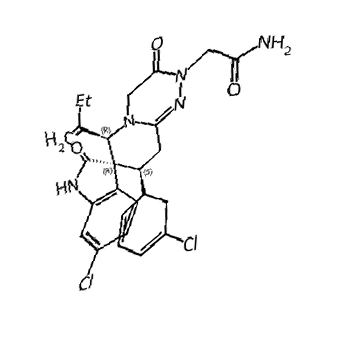 C=C(CC)[C@H]1N2CC(=O)N(CC(N)=O)N=C2C[C@@H](C2C=CC=C(Cl)C2)[C@]12C(=O)Nc1cc(Cl)ccc12